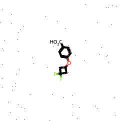 O=C(O)c1ccc(OC2CC(F)(F)C2)cc1